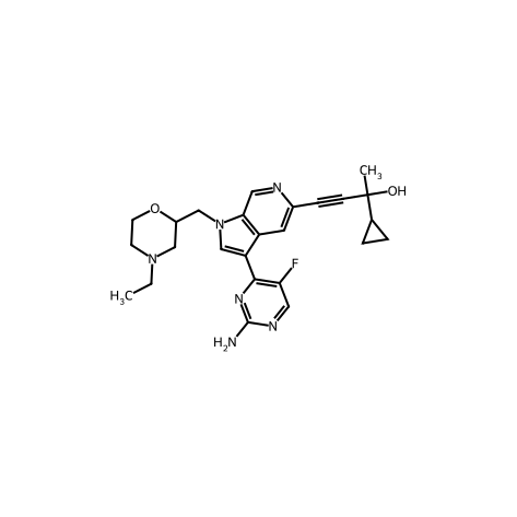 CCN1CCOC(Cn2cc(-c3nc(N)ncc3F)c3cc(C#CC(C)(O)C4CC4)ncc32)C1